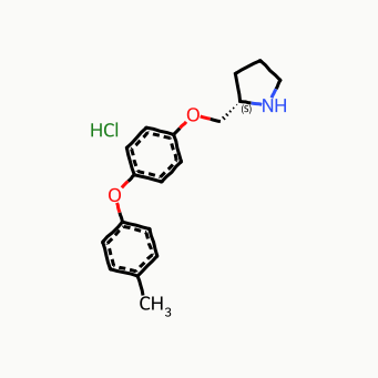 Cc1ccc(Oc2ccc(OC[C@@H]3CCCN3)cc2)cc1.Cl